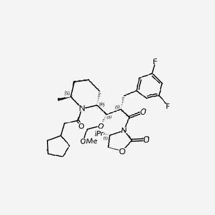 COCO[C@@H]([C@H](Cc1cc(F)cc(F)c1)C(=O)N1C(=O)OC[C@@H]1C(C)C)[C@H]1CCC[C@H](C)N1C(=O)CC1CCCC1